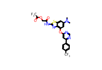 CN(C)c1cc(Oc2cc(-c3ccc(C(F)(F)F)cc3)ncn2)c2nc(NC(=O)COC(=O)C(F)(F)F)sc2c1